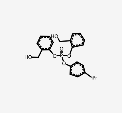 CC(C)c1ccc(OP(=O)(Oc2ccccc2CO)Oc2ccccc2CO)cc1